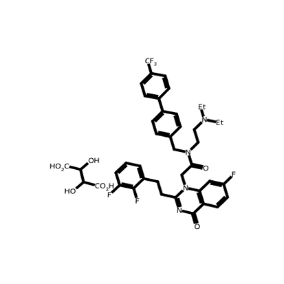 CCN(CC)CCN(Cc1ccc(-c2ccc(C(F)(F)F)cc2)cc1)C(=O)Cn1c(CCc2cccc(F)c2F)nc(=O)c2ccc(F)cc21.O=C(O)C(O)C(O)C(=O)O